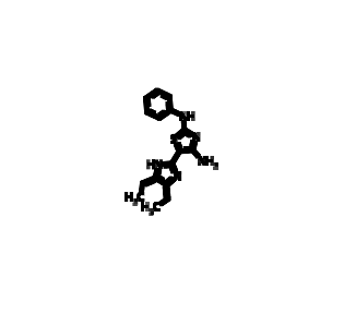 C/C=c1/nc(-c2sc(Nc3ccccc3)nc2N)[nH]/c1=C/C